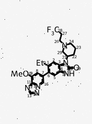 CCc1cc2c(cc1-c1cc(OC)c3ncnn3c1)[nH]c(=O)n2C1CCCN(CCC(F)(F)F)C1